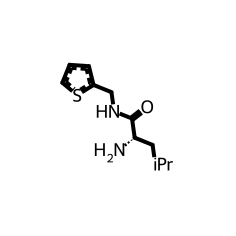 CC(C)C[C@H](N)C(=O)NCc1cccs1